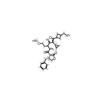 CCCCOCCC(c1noc(C2CC(CC(C)C)C2)c1C1CC1)C(C)C(=O)N1C(=O)OC[C@H]1Cc1ccccc1